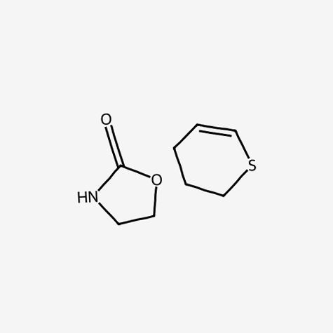 C1=CSCCC1.O=C1NCCO1